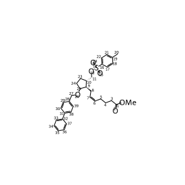 COC(=O)CCC/C=C\C[C@@H]1[C@@H](COS(=O)(=O)c2ccc(C)cc2)CC[C@@H]1OCc1ccc(-c2ccccc2)cc1